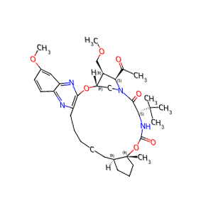 COC[C@@H]1[C@@H]2CN(C(=O)[C@H](C(C)(C)C)NC(=O)O[C@]3(C)CCC[C@H]3CCCCCc3nc4ccc(OC)cc4nc3O2)[C@@H]1C(C)=O